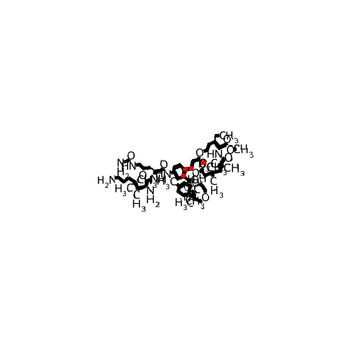 CC[C@H](CCOC(=O)/C=C/C=C\C(=O)O[C@@H]1C[C@@H]2COC[C@@]1(C)[C@@]1(C)CCC(C)=C[C@H]1O2)[C@@H](NC(=O)C(C)(C)CC(C)(C)CC(=O)OCc1ccc(NC(=O)[C@H](CCCNC(N)=O)NC(=O)C(N)C(C)C(C)(C)CCCN)cc1)C(=O)OC